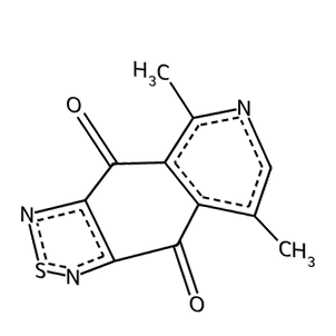 Cc1cnc(C)c2c1C(=O)c1nsnc1C2=O